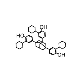 Oc1ccc(C23CC4CC(c5ccc(O)c(C6CCCCC6)c5)(C2)CC(c2ccc(O)c(C5CCCCC5)c2)(C4)C3)cc1C1CCCCC1